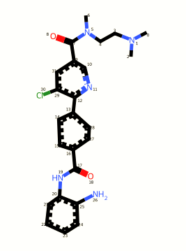 CN(C)CCN(C)C(=O)c1cnc(-c2ccc(C(=O)Nc3ccccc3N)cc2)c(Cl)c1